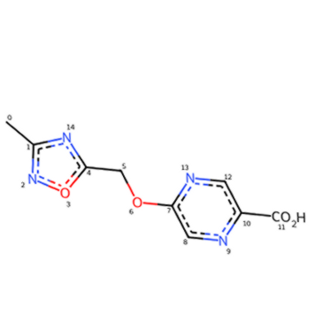 Cc1noc(COc2cnc(C(=O)O)cn2)n1